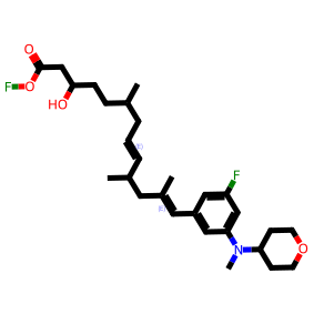 C/C(=C\c1cc(F)cc(N(C)C2CCOCC2)c1)CC(C)/C=C/CC(C)CCC(O)CC(=O)OF